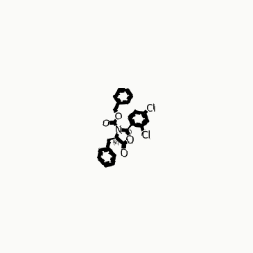 O=C1O[C@H](c2ccc(Cl)cc2Cl)N(C(=O)OCc2ccccc2)[C@@H]1Cc1ccccc1